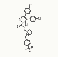 O=c1n(CC2CCCN2Cc2ccc(C(F)(F)F)cc2)nc2c(-c3ccc(Cl)cc3)c(-c3ccc(Cl)cc3)cnn12